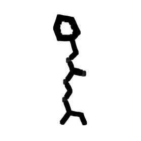 CCC(C)OCOC(=O)OCc1ccccc1